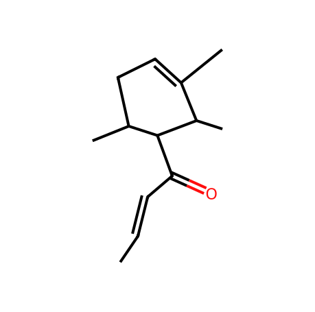 C/C=C/C(=O)C1C(C)CC=C(C)C1C